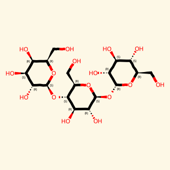 OC[C@H]1O[C@@H](O[C@H]2[C@H](O)[C@@H](O)[C@H](O[C@H]3O[C@H](CO)[C@@H](O)[C@H](O)[C@H]3O)O[C@@H]2CO)[C@H](O)[C@@H](O)[C@H]1O